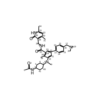 CC(=O)NC1CCC(N(C)c2cc(-c3ccc(CN(C)C)cc3)cc(C(=O)NCc3c(C)cc(C)[nH]c3=O)c2C)CC1